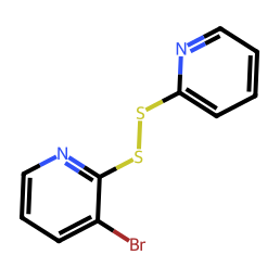 Brc1cccnc1SSc1ccccn1